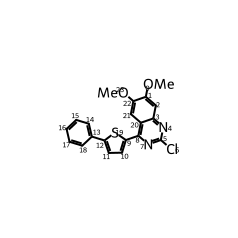 COc1cc2nc(Cl)nc(-c3ccc(-c4ccccc4)s3)c2cc1OC